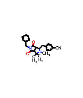 CN1C(Cc2ccc(C#N)cc2)C2C(=O)N(Cc3ccccc3)C(=O)C2C1(C)C